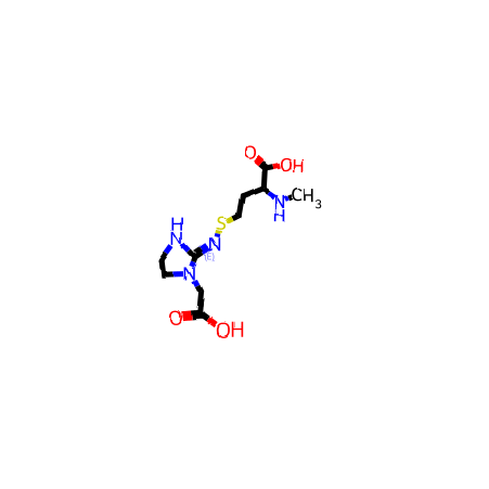 CNC(CCS/N=C1\NCCN1CC(=O)O)C(=O)O